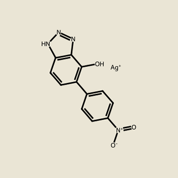 O=[N+]([O-])c1ccc(-c2ccc3[nH]nnc3c2O)cc1.[Ag+]